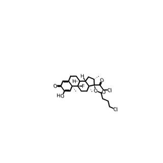 C[C@H]1C[C@H]2[C@@H]3CCC4=CC(=O)C(O)=C[C@]4(C)[C@@]3(F)CC[C@]2(C)[C@@]1(OC(=O)CCCCl)C(=O)CCl